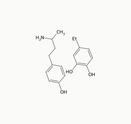 CC(N)CCc1ccc(O)cc1.CCc1ccc(O)c(O)c1